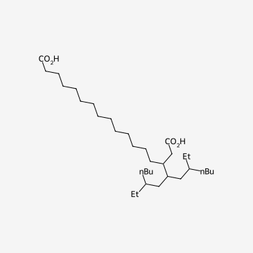 CCCCC(CC)CC(CC(CC)CCCC)C(CCCCCCCCCCCCCC(=O)O)CC(=O)O